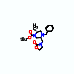 C[C@@H]1CN(Cc2ccccc2)[C@@H](CN2CCOC2=O)CN1C(=O)OC(C)(C)C